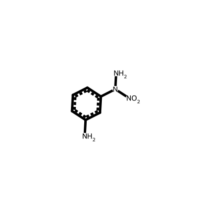 Nc1cccc(N(N)[N+](=O)[O-])c1